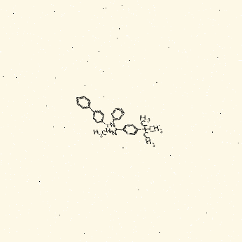 CN1N=C(c2ccc(C(C)(C)C)cc2)N(c2ccccc2)C1c1ccc(-c2ccccc2)cc1